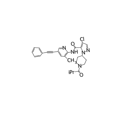 Cc1cc(C#Cc2ccccc2)cnc1NC(=O)c1c(Cl)cnn1C1CCN(C(=O)C(C)C)CC1